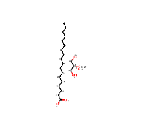 CCCCCCCCCCCCCCCCCC(=O)[O-].OCC(O)CO.[Na+]